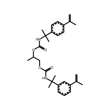 C=C(C)c1ccc(C(C)(C)NC(=O)OC(C)COC(=O)NC(C)(C)c2cccc(C(=C)C)c2)cc1